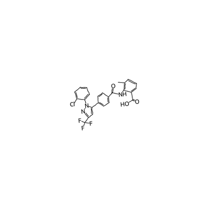 Cc1cccc(C(=O)O)c1NC(=O)c1ccc(-c2cc(C(F)(F)F)nn2-c2ccccc2Cl)cc1